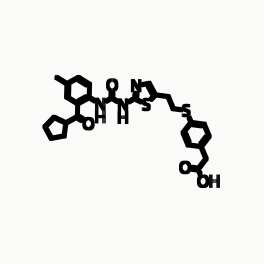 Cc1ccc(NC(=O)Nc2ncc(CCSc3ccc(CC(=O)O)cc3)s2)c(C(=O)C2CCCC2)c1